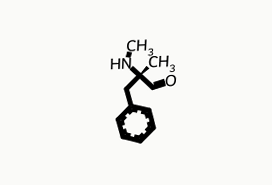 CN[C@](C)(C=O)Cc1ccccc1